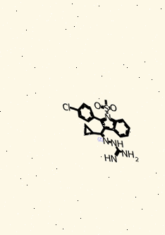 CS(=O)(=O)n1c(-c2ccc(Cl)cc2)c(/C(=N\NC(=N)N)C2CC2)c2ccccc21